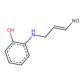 O=NC=CCNc1ccccc1O